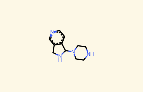 c1cc2c(cn1)CN[C]2N1CCNCC1